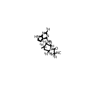 [2H]c1nc(N(C)[C@@]2([2H])C([2H])([2H])N(C(=O)C([2H])([2H])[N+]#[C-])C([2H])([2H])C[C@@]2([2H])C)c2cc[nH]c2n1